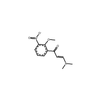 COc1c(C(=O)C=CN(C)C)cccc1[N+](=O)[O-]